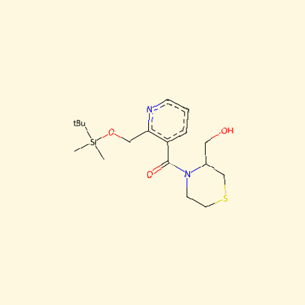 CC(C)(C)[Si](C)(C)OCc1ncccc1C(=O)N1CCSCC1CO